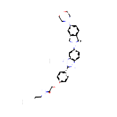 C=C1c2ccc(N3CCOCC3)cc2CN1c1ccc2c(c1)N(C)C(c1ccc(OCC(=O)NCCC)cc1)N2